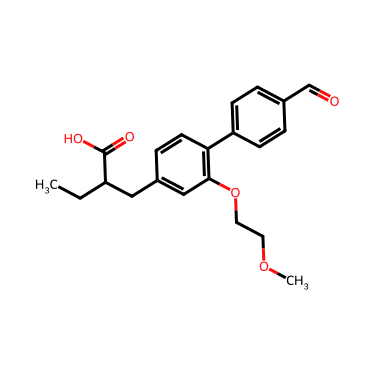 CCC(Cc1ccc(-c2ccc(C=O)cc2)c(OCCOC)c1)C(=O)O